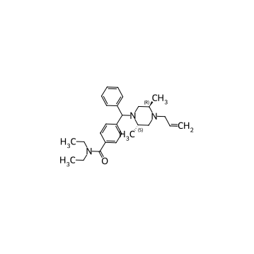 C=CCN1C[C@H](C)N(C(c2ccccc2)c2ccc(C(=O)N(CC)CC)cc2)C[C@H]1C